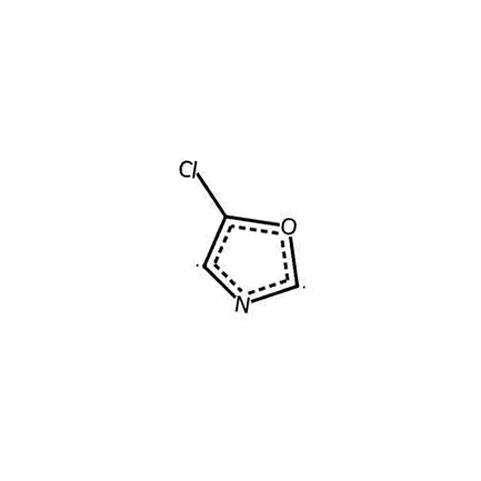 Clc1[c]n[c]o1